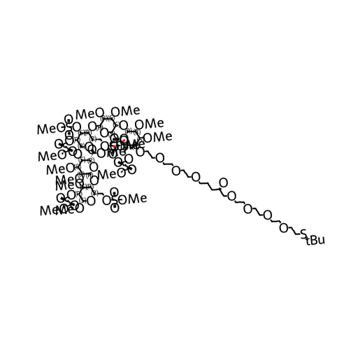 COC(=O)[C@H]1O[C@@H](O[C@H]2[C@H](OS(=O)(=O)OC)[C@@H](OS(=O)(=O)OC)[C@@H](O[C@H]3[C@H](OC)[C@@H](OC)[C@H](O[C@H]4[C@H](OC)[C@@H](OS(=O)(=O)OC)[C@@H](OC)O[C@@H]4COS(=O)(=O)OC)O[C@H]3C(=O)OC)O[C@@H]2COS(=O)(=O)OC)[C@H](OC)[C@@H](OC)[C@@H]1O[C@H]1O[C@H](COS(=O)(=O)OC)[C@@H](OCCOCCOCCOCCCC(=O)COCCOCCOCCOCCSC(C)(C)C)[C@H](OC)[C@H]1OC